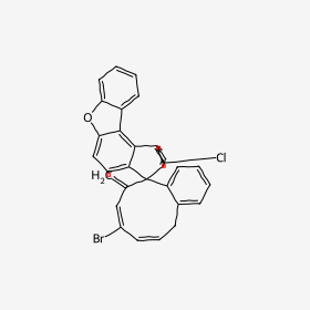 C=C1/C=C(Br)\C=C/Cc2ccccc2C12c1cc(Cl)ccc1-c1c2ccc2oc3ccccc3c12